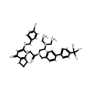 CCN(CC)CCN(Cc1ccc(-c2ccc(C(F)(F)F)cc2)cc1)C(=O)Cn1c(SCc2ccc(F)cc2)cc(=O)c2c1CCC2